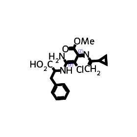 C=C(/N=C(C(=O)OC)\C(Cl)=C(/N)NC(Cc1ccccc1)C(=O)O)C1CC1